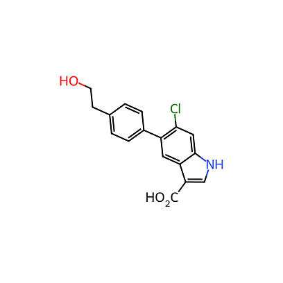 O=C(O)c1c[nH]c2cc(Cl)c(-c3ccc(CCO)cc3)cc12